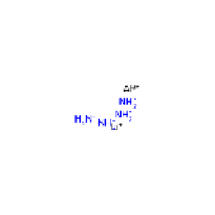 [Al+3].[Li+].[NH2-].[NH2-].[NH2-].[NH2-]